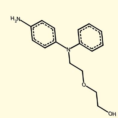 Nc1ccc(N(CCOCCO)c2ccccc2)cc1